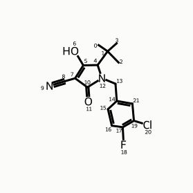 CC(C)(C)C1C(O)=C(C#N)C(=O)N1Cc1ccc(F)c(Cl)c1